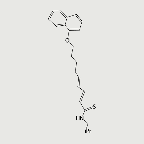 CC(C)CNC(=S)C=CC=CCCCCOc1cccc2ccccc12